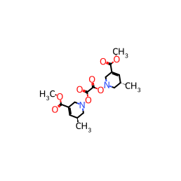 COC(=O)C1=C[C@H](C)CN(OC(=O)C(=O)ON2CC(C(=O)OC)=C[C@H](C)C2)C1